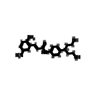 Nc1ccc(N)c(C=CC(=O)Nc2ccc(N(CCO)CCO)cc2)c1